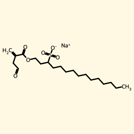 C=C(CC=O)C(=O)OCCC(CCCCCCCCCCCC)S(=O)(=O)[O-].[Na+]